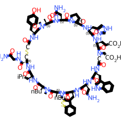 CCCC[C@H]1C(=O)N(C)[C@@H](CCCC)C(=O)N[C@@H](CC(C)C)C(=O)N[C@H](C(=O)NCC(N)=O)CSCC(=O)N[C@@H](Cc2ccc(O)cc2)C(=O)N(C)[C@@H](C)C(=O)N[C@@H](CC(N)=O)C(=O)N2CCC[C@H]2C(=O)N[C@@H](Cc2c[nH]cn2)C(=O)N[C@@H](CCC(=O)O)C(=O)N(CC(=O)O)CC(=O)N[C@@H](Cc2c[nH]c3ccccc23)C(=O)N[C@@H](CCN)C(=O)N[C@@H](Cc2csc3ccccc23)C(=O)N1C